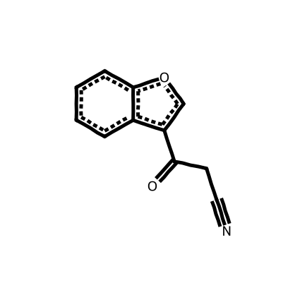 N#CCC(=O)c1coc2ccccc12